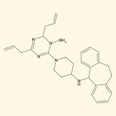 C=CCC1=NC(CC=C)N(N)C(N2CCC(NC3c4ccccc4CCc4ccccc43)CC2)=N1